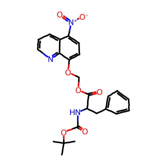 CC(C)(C)OC(=O)NC(Cc1ccccc1)C(=O)OCOc1ccc([N+](=O)[O-])c2cccnc12